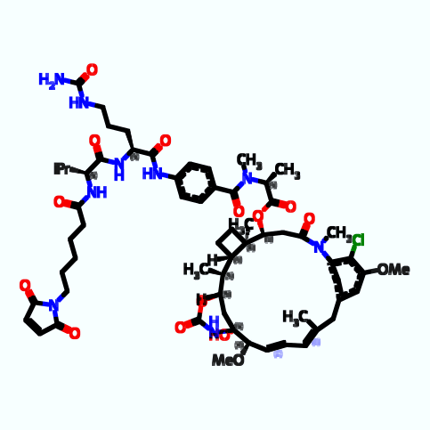 COc1cc2cc(c1Cl)N(C)C(=O)C[C@H](OC(=O)[C@H](C)N(C)C(=O)c1ccc(NC(=O)[C@H](CCCNC(N)=O)NC(=O)[C@@H](NC(=O)CCCCCN3C(=O)C=CC3=O)C(C)C)cc1)[C@]1(C)CC[C@H]1[C@H](C)[C@@H]1C[C@@](O)(NC(=O)O1)[C@H](OC)/C=C/C=C(\C)C2